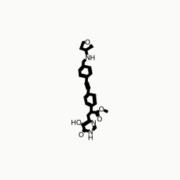 COC(=O)C(Cc1nc[nH]c(=O)c1O)c1ccc(C#Cc2ccc(CNC3CCOC3)cc2)cc1